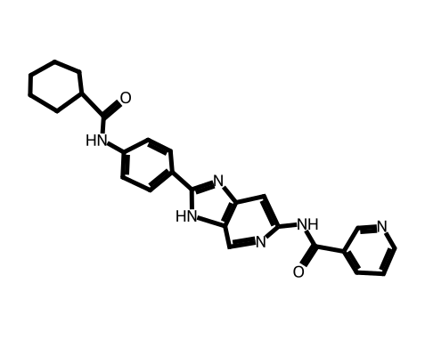 O=C(Nc1cc2nc(-c3ccc(NC(=O)C4CCCCC4)cc3)[nH]c2cn1)c1cccnc1